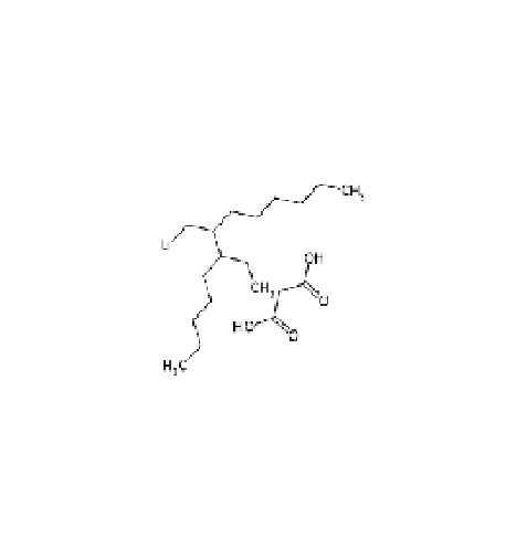 O=C(O)CC(=O)O.[Li][CH2]C(CCCCCC)C(CC)CCCCC